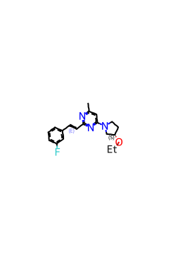 CCO[C@H]1CCN(c2cc(C)nc(/C=C/c3cccc(F)c3)n2)C1